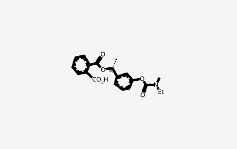 CCN(C)C(=O)Oc1cccc([C@@H](C)OC(=O)c2ccccc2C(=O)O)c1